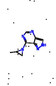 CC1CN1c1ncnc2c[nH]nc12